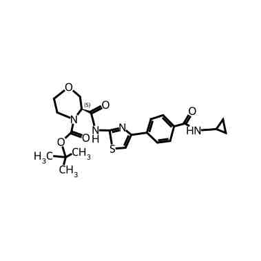 CC(C)(C)OC(=O)N1CCOC[C@H]1C(=O)Nc1nc(-c2ccc(C(=O)NC3CC3)cc2)cs1